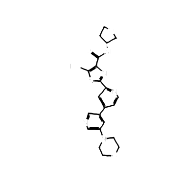 Cc1[nH]c(-c2cc(-c3cncc(N4CCOCC4)c3)ccn2)nc1C(=O)N[C@H]1CCOC1